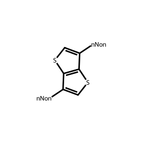 CCCCCCCCCc1csc2c(CCCCCCCCC)csc12